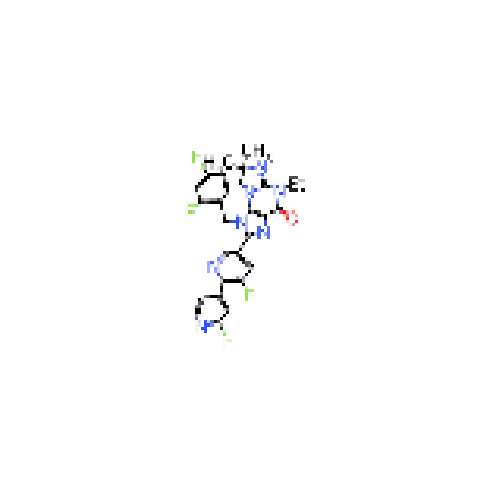 CCN1C(=O)c2nc(-c3cnc(-c4ccnc(F)c4)c(F)c3)n(Cc3ccc(F)cc3F)c2N2CC(C)(C)N=C12